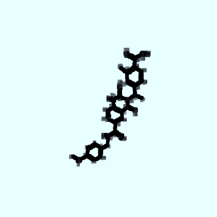 COc1ccc(CNC(=O)c2cc3c(=O)n(C(C)c4ccc(C(=O)O)c(C)c4)c(=O)[nH]c3cn2)cc1